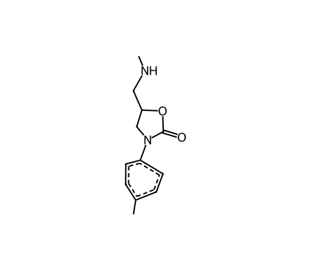 CNCC1CN(c2ccc(C)cc2)C(=O)O1